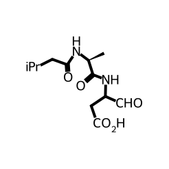 CC(C)CC(=O)N[C@@H](C)C(=O)NC(C=O)CC(=O)O